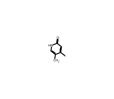 [CH2]c1c[nH]c(=O)cc1I